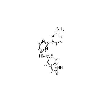 Nc1cccc(-c2nccc(Nc3ccc4[nH]ncc4c3)n2)c1